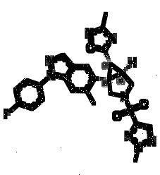 Cc1noc([C@@H]2[C@H]3CN(S(=O)(=O)c4cnn(C)n4)C[C@]32c2cc3cnn(-c4ccc(F)cc4)c3cc2C)n1